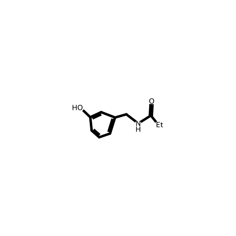 CCC(=O)NCc1cccc(O)c1